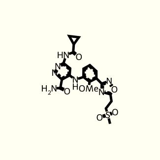 COc1c(Nc2cc(NC(=O)C3CC3)nnc2C(N)=O)cccc1-c1noc(CCS(C)(=O)=O)n1